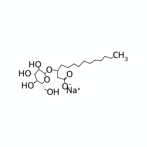 CCCCCCCCCCCC(CC(=O)[O-])OC1O[C@H](CO)[C@@H](O)[C@H](O)[C@H]1O.[Na+]